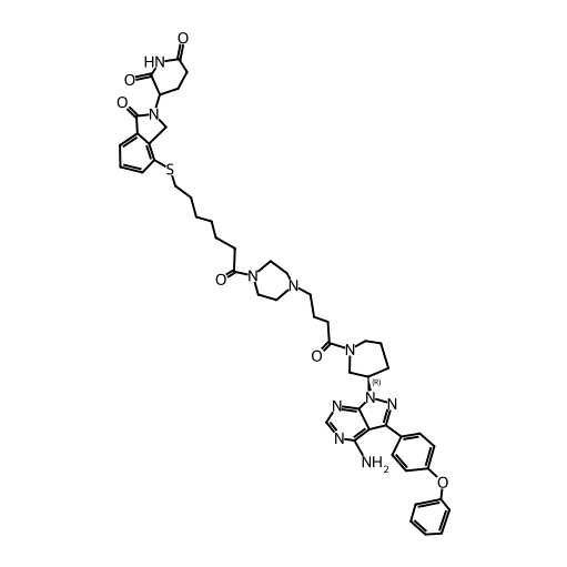 Nc1ncnc2c1c(-c1ccc(Oc3ccccc3)cc1)nn2[C@@H]1CCCN(C(=O)CCCN2CCN(C(=O)CCCCCCSc3cccc4c3CN(C3CCC(=O)NC3=O)C4=O)CC2)C1